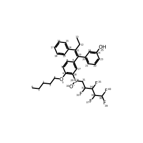 CCCCCOc1ccc(C(=C(CC)c2ccccc2)c2cccc(O)c2)cc1[S+]([O-])CC(F)C(F)C(F)C(F)F